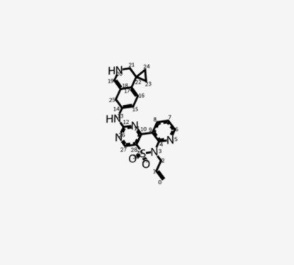 C=CCN1c2ncccc2-c2nc(NC3=CC=C4C(=CNCC45CC5)C3)ncc2S1(=O)=O